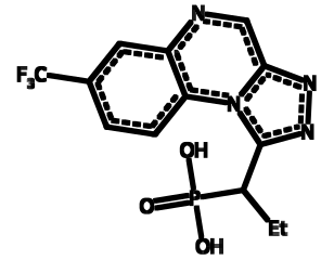 CCC(c1nnc2cnc3cc(C(F)(F)F)ccc3n12)P(=O)(O)O